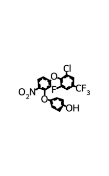 O=[N+]([O-])c1ccc(Oc2c(F)cc(C(F)(F)F)cc2Cl)cc1Oc1ccc(O)cc1